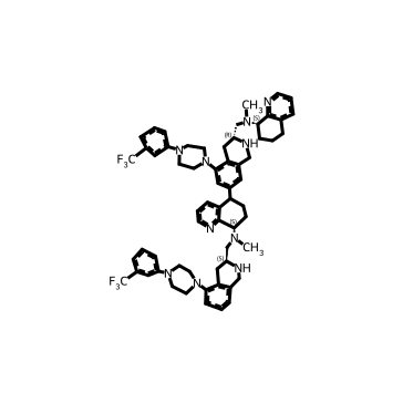 CN(C[C@H]1Cc2c(cc(C3CC[C@H](N(C)C[C@@H]4Cc5c(cccc5N5CCN(c6cccc(C(F)(F)F)c6)CC5)CN4)c4ncccc43)cc2N2CCN(c3cccc(C(F)(F)F)c3)CC2)CN1)[C@H]1CCCc2cccnc21